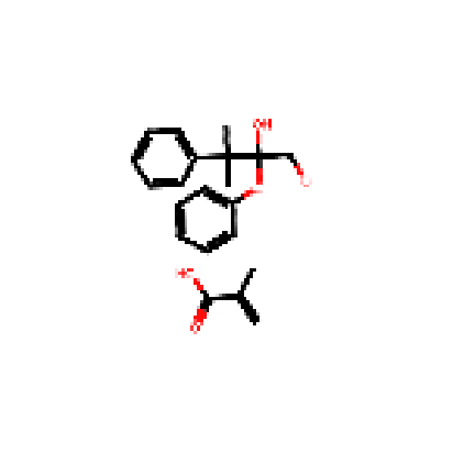 C=C(C)C(=O)O.CC(C)(c1ccccc1)C(O)(CO)Oc1ccccc1